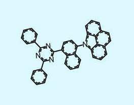 c1ccc(-c2nc(-c3ccccc3)nc(-c3ccc(-n4c5cccc6ccc7cccc4c7c65)c4ccccc34)n2)cc1